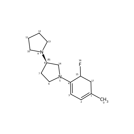 CC1=CC=C(N2CC[C@@H](N3CCCC3)C2)C(F)C1